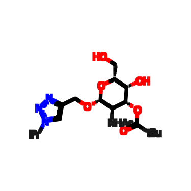 CC(=O)N[C@H]1[C@H](OCc2cn(C(C)C)nn2)O[C@H](CO)[C@H](O)[C@@H]1OC(=O)C(C)(C)C